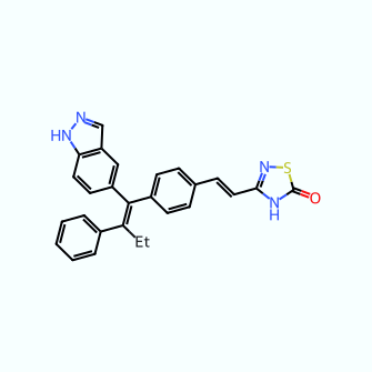 CCC(=C(c1ccc(C=Cc2nsc(=O)[nH]2)cc1)c1ccc2[nH]ncc2c1)c1ccccc1